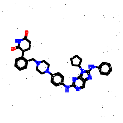 O=C1CCC(c2ccccc2CN2CCN(c3ccc(Nc4ncc5nc(Nc6ccccc6)n(C6CCCC6)c5n4)cc3)CC2)C(=O)N1